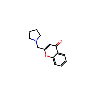 O=c1cc(CN2CCCC2)oc2ccccc12